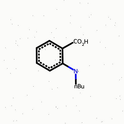 CCCC[N]c1ccccc1C(=O)O